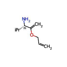 C=CCOC(=C)[C@@H](N)C(C)C